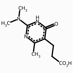 Cc1nc(N(C)C)[nH]c(=O)c1CCC(=O)O